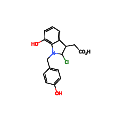 O=C(O)CC1c2cccc(O)c2N(Cc2ccc(O)cc2)C1Cl